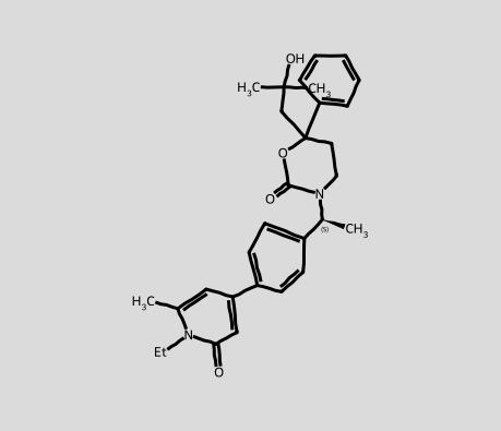 CCn1c(C)cc(-c2ccc([C@H](C)N3CCC(CC(C)(C)O)(c4ccccc4)OC3=O)cc2)cc1=O